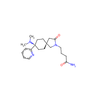 CN(C)[C@]1(c2ccccn2)CC[C@@]2(CC1)CC(=O)N(CCCC(N)=O)C2